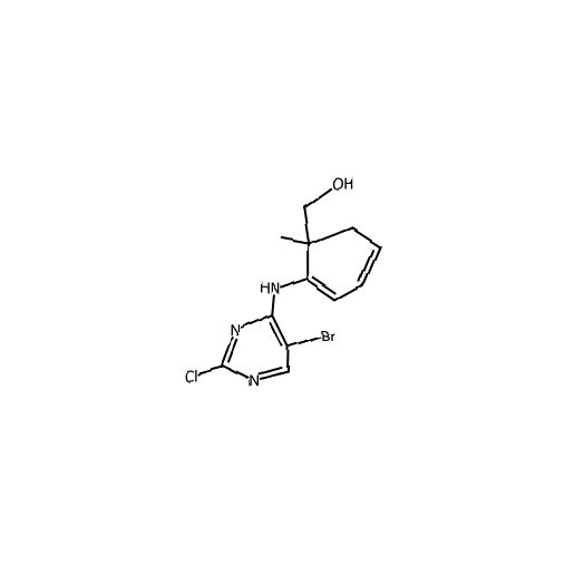 CC1(CO)CC=CC=C1Nc1nc(Cl)ncc1Br